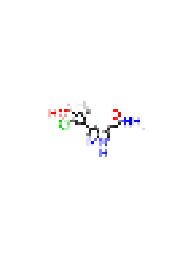 C[C@@H](O)c1ccc(-c2cnc3[nH]cc(C=CC(N)=O)c3c2)cc1Cl